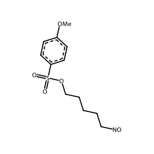 COc1ccc(S(=O)(=O)OCCCCCN=O)cc1